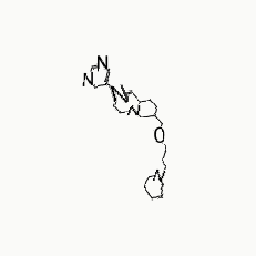 c1ncc(N2CCN3CC(COCCCN4CCCCC4)CCC3C2)cn1